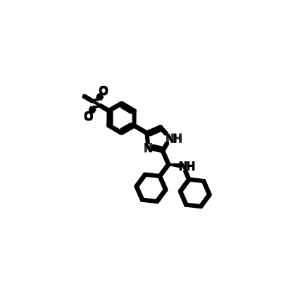 CS(=O)(=O)c1ccc(-c2c[nH]c([C@@H](NC3CCCCC3)C3CCCCC3)n2)cc1